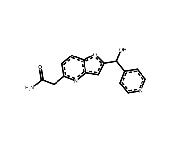 NC(=O)Cc1ccc2oc(C(O)c3ccncc3)cc2n1